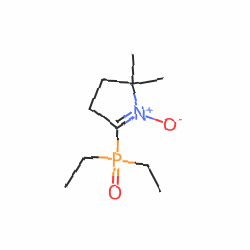 CCP(=O)(CC)C1=[N+]([O-])C(C)(C)CC1